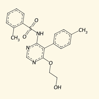 Cc1ccc(-c2c(NS(=O)(=O)c3ccccc3C)ncnc2OCCO)cc1